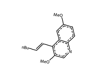 CCCCC=Cc1c(OC)cnc2ccc(OC)cc12